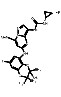 BC1(B)Oc2cc(F)cc(Nc3cc(NC)n4ncc(NC(=O)N[C@@H]5C[C@@H]5F)c4n3)c2OC1(B)B